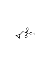 O=S(=O)(O)CC1CC1